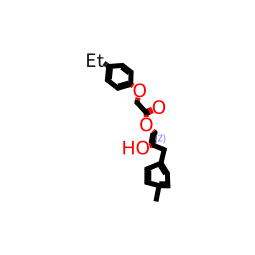 CCc1ccc(OCC(=O)O/C=C(\O)Cc2ccc(C)cc2)cc1